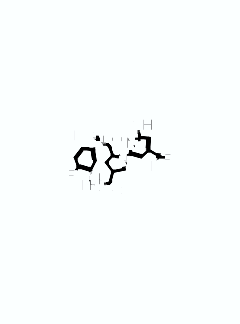 Cc1cc(C(F)(F)F)cc(N2CC(C(=O)O)CC2C(=O)N(C)c2ccc(F)c(Cl)c2)n1